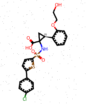 O=C(O)C1(NS(=O)(=O)c2ccc(-c3ccc(Cl)cc3)s2)C[C@H]1c1ccccc1OCCO